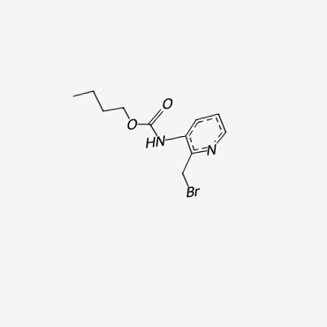 CCCCOC(=O)Nc1cccnc1CBr